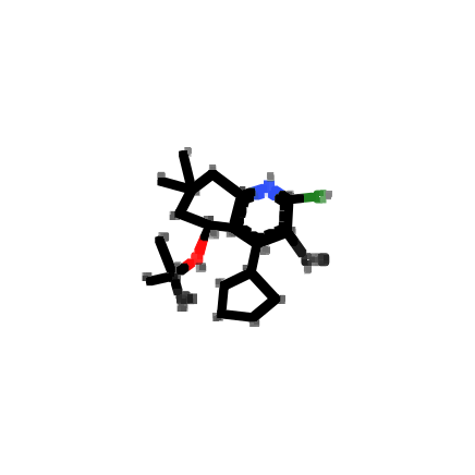 CC1(C)Cc2nc(Cl)c(C=O)c(C3CCCC3)c2[C@@H](O[Si](C)(C)C(C)(C)C)C1